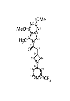 COc1nc2c(c(OC)n1)C(C)N(C(=O)CC1CN(c3ccnc(C(F)(F)F)c3)C1)C2